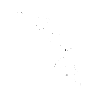 CC(=O)NC[C@H]1CN(c2ccc(C(=O)c3cnc4cc(C)ccn34)cc2)C(=O)O1